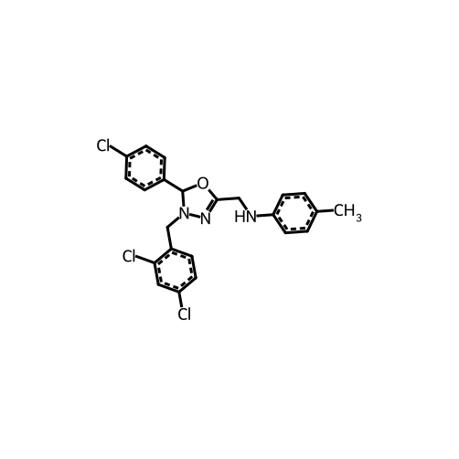 Cc1ccc(NCC2=NN(Cc3ccc(Cl)cc3Cl)C(c3ccc(Cl)cc3)O2)cc1